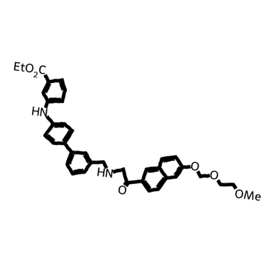 CCOC(=O)c1cccc(Nc2ccc(-c3cccc(CNCC(=O)c4ccc5cc(OCOCCOC)ccc5c4)c3)cc2)c1